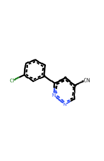 N#Cc1cnnc(-c2cccc(Cl)c2)c1